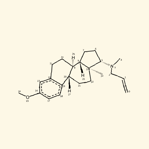 C=CCN(C)[C@H]1CC[C@H]2[C@@H]3CCc4cc(OC)ccc4[C@H]3CC[C@]12C